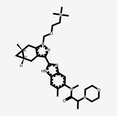 Cc1cc2[nH]c(-c3nn(COCC[Si](C)(C)C)c4c3C[C@@H]3C[C@]3(C)C4)nc2cc1N(C)C(=O)C(C)N1CCOCC1